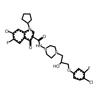 O=C(NN1CCN(CC(O)COc2ccc(Cl)c(F)c2)CC1)c1cn(C2CCCC2)c2cc(Cl)c(F)cc2c1=O